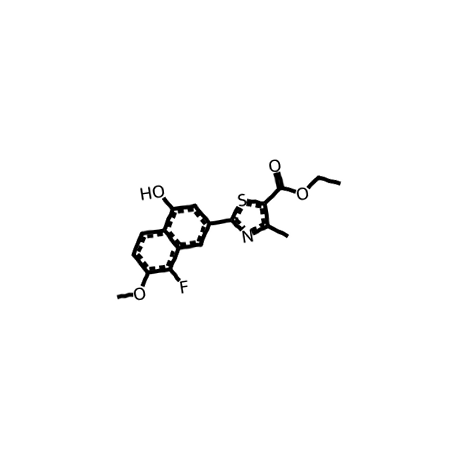 CCOC(=O)c1sc(-c2cc(O)c3ccc(OC)c(F)c3c2)nc1C